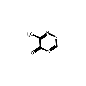 Cc1n[nH]cnc1=O